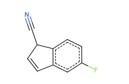 N#CC1C=Cc2cc(F)ccc21